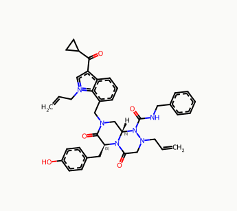 C=CCN1CC(=O)N2[C@@H](Cc3ccc(O)cc3)C(=O)N(Cc3cccc4c(C(=O)C5CC5)cn(CC=C)c34)C[C@@H]2N1C(=O)NCc1ccccc1